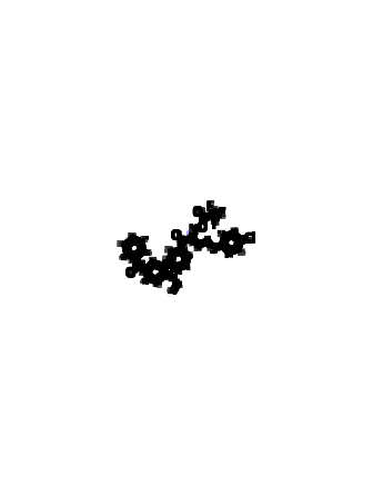 CCn1c2ccc(C(=O)/C(CCSc3ccc(Cl)cc3)=N/OC(=O)C(F)(F)F)cc2c2cc(C(=O)c3ccccc3)ccc21